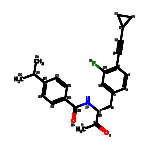 CC(=O)[C@@H](Cc1ccc(C#CC2CC2)c(F)c1)NC(=O)c1ccc(C(C)C)cc1